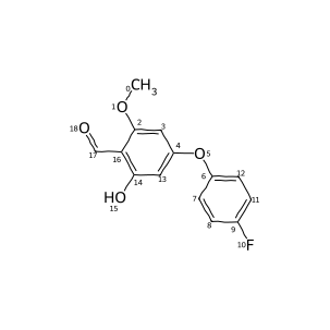 COc1cc(Oc2ccc(F)cc2)cc(O)c1C=O